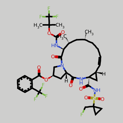 C[C@@H]1CC/C=C\[C@@H]2C[C@@]2(C(=O)NS(=O)(=O)C2(CF)CC2)NC(=O)[C@@H]2C[C@@H](OC(=O)c3ccccc3C(F)(F)F)CN2C(=O)[C@@H](NC(=O)OC(C)(C)C(F)(F)F)[C@H](C)C1